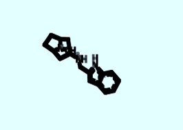 CN1C2CCC1CC(NCc1cc3ccccc3[nH]1)C2